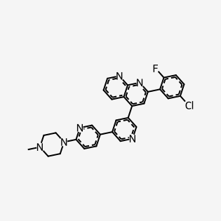 CN1CCN(c2ccc(-c3cncc(-c4cc(-c5cc(Cl)ccc5F)nc5ncccc45)c3)cn2)CC1